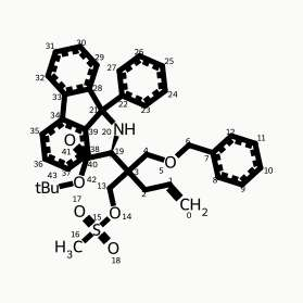 C=CCC(COCc1ccccc1)(COS(C)(=O)=O)[C@H](NC1(c2ccccc2)c2ccccc2-c2ccccc21)C(=O)OC(C)(C)C